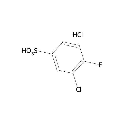 Cl.O=S(=O)(O)c1ccc(F)c(Cl)c1